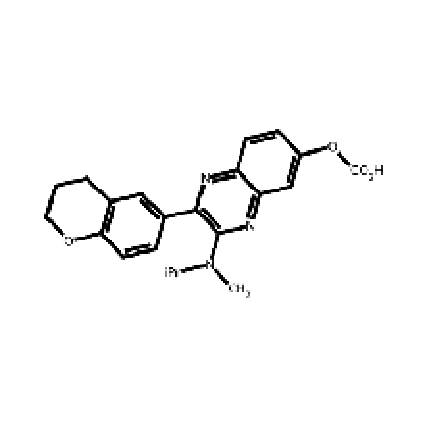 CC(C)N(C)c1nc2cc(OC(=O)O)ccc2nc1-c1ccc2c(c1)CCCO2